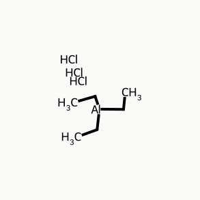 C[CH2][Al]([CH2]C)[CH2]C.Cl.Cl.Cl